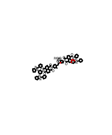 Cc1cc(N2C(=O)c3ccc4c5c(ccc(c35)C2=O)C(=O)N(c2cc(-n3c(-c5ccccc5)nc5ccccc53)cc(-n3c(-c5ccccc5)nc5ccccc53)c2)C4=O)ccc1/C=C/c1ccc(N2C(=O)c3ccc4c5c(ccc(c35)C2=O)C(=O)N(c2ccccc2-n2c(-c3ccccc3)nc3ccccc32)C4=O)cc1S(=O)(=O)O